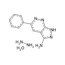 NN.Nc1n[nH]c2nnc(-c3ccccc3)cc12.O